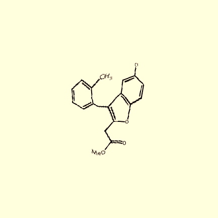 COC(=O)Cc1oc2ccc(Cl)cc2c1-c1ccccc1C